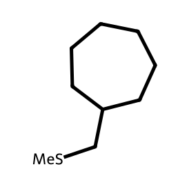 CSCC1CCCCCC1